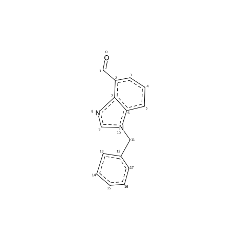 O=Cc1cccc2c1ncn2Cc1ccccc1